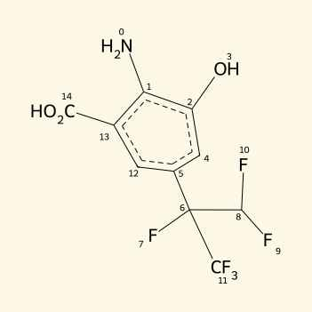 Nc1c(O)cc(C(F)(C(F)F)C(F)(F)F)cc1C(=O)O